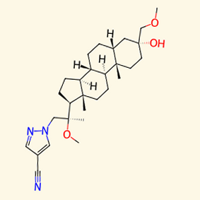 COC[C@@]1(O)CC[C@@]2(C)[C@H](CC[C@@H]3[C@@H]2CC[C@@]2(C)[C@H]3CC[C@@H]2[C@](C)(Cn2cc(C#N)cn2)OC)C1